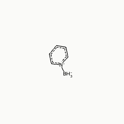 [BH3-][n+]1ccccc1